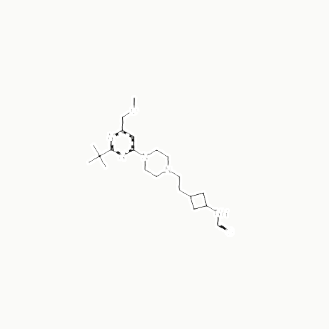 COCc1cc(N2CCN(CCC3CC(NC=O)C3)CC2)nc(C(C)(C)C)n1